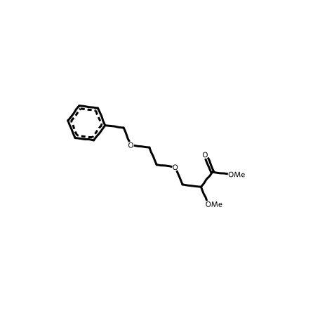 COC(=O)C(COCCOCc1ccccc1)OC